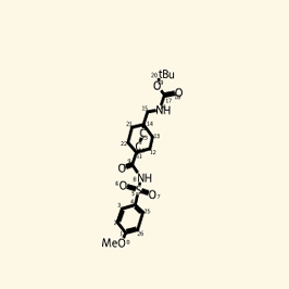 COc1ccc(S(=O)(=O)NC(=O)C23CCC(CNC(=O)OC(C)(C)C)(CC2)CC3)cc1